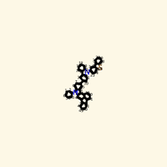 c1ccc(-n2c3ccc(-c4ccc5c(c4)c4ccccc4n5-c4ccc5sc6ccccc6c5c4)cc3c3c4cccc5c4c(cc32)-c2ccccc2-5)cc1